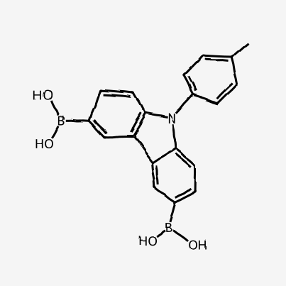 Cc1ccc(-n2c3ccc(B(O)O)cc3c3cc(B(O)O)ccc32)cc1